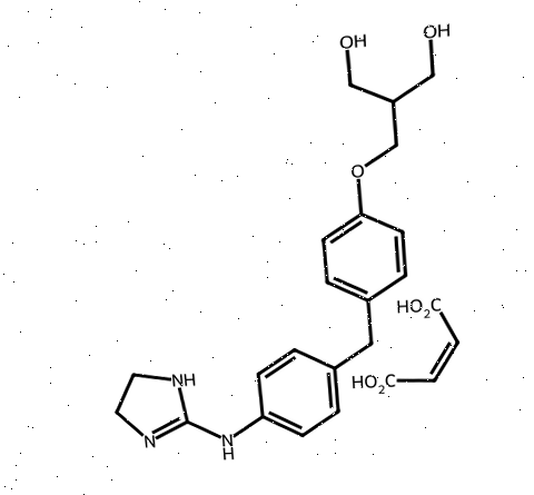 O=C(O)/C=C\C(=O)O.OCC(CO)COc1ccc(Cc2ccc(NC3=NCCN3)cc2)cc1